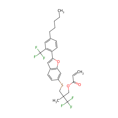 C=CC(=O)OCC(C)(CSc1ccc2cc(-c3ccc(CCCCC)cc3C(F)(F)F)oc2c1)C(F)(F)F